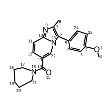 COc1ccc(-c2c(C)nc3ccc(C(=O)N4CCCCC4)cn23)cc1